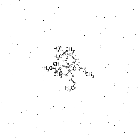 CC=CCC1(OC2(CC=CC)C=CC(C(C)(C)C)=CC2)C=CC(C(C)(C)C)=CC1